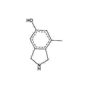 Cc1cc(O)cc2c1CNC2